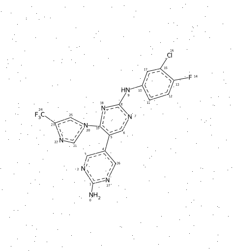 Nc1ncc(-c2cnc(Nc3ccc(F)c(Cl)c3)nc2-n2cnc(C(F)(F)F)c2)cn1